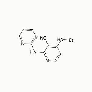 CCNc1ccnc(Nc2ncccn2)c1C#N